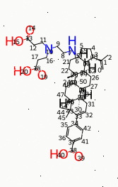 C=C(C)[C@@H]1CC[C@]2(NCCN(CCC(=O)O)CCC(=O)O)CC[C@]3(C)[C@H](CC[C@@H]4[C@@]5(C)CC=C(c6ccc(C(=O)O)cc6)C(C)(C)[C@@H]5CC[C@]43C)[C@@H]12